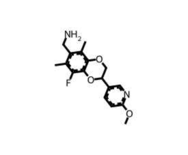 COc1ccc(C2COc3c(C)c(CN)c(C)c(F)c3O2)cn1